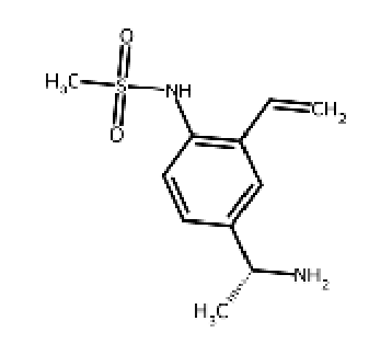 C=Cc1cc([C@@H](C)N)ccc1NS(C)(=O)=O